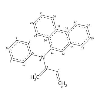 C=CC(=C)N(c1ccccc1)c1cc2ccccc2c2ccccc12